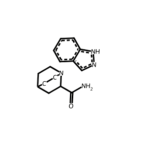 NC(=O)C1CC2CCN1CC2.c1ccc2[nH]ncc2c1